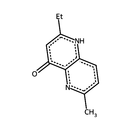 CCc1cc(=O)c2nc(C)ccc2[nH]1